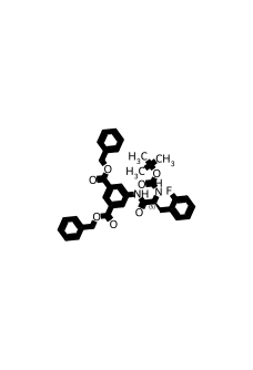 CC(C)(C)OC(=O)N[C@@H](Cc1ccccc1F)C(=O)Nc1cc(C(=O)OCc2ccccc2)cc(C(=O)OCc2ccccc2)c1